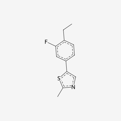 CCc1ccc(-c2cnc(C)s2)cc1F